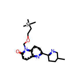 CC1CCC(c2ccc3c(ccc(=O)n3COCC[Si](C)(C)C)n2)=NC1